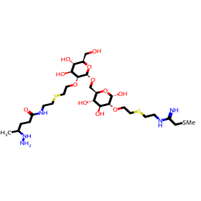 CSCC(=N)NCCSCCO[C@@H]1[C@@H](O)[C@H](O)[C@@H](CO[C@H]2O[C@H](CO)[C@@H](O)[C@H](O)[C@H]2OCCSCCNC(=O)CCC(C)NN)O[C@@H]1O